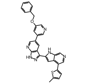 Cc1ccc(-c2cncc3[nH]c(-c4n[nH]c5ncc(-c6cncc(OCc7ccccc7)c6)cc45)cc23)s1